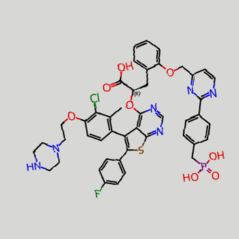 Cc1c(-c2c(-c3ccc(F)cc3)sc3ncnc(O[C@H](Cc4ccccc4OCc4ccnc(-c5ccc(CP(=O)(O)O)cc5)n4)C(=O)O)c23)ccc(OCCN2CCNCC2)c1Cl